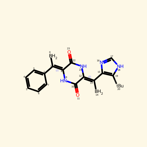 B/C(c1ccccc1)=c1/[nH]c(=O)/c(=C(\B)c2nc[nH]c2C(C)(C)C)[nH]c1=O